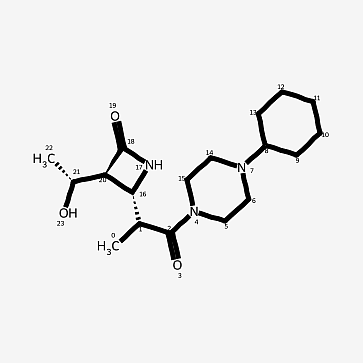 CC(C(=O)N1CCN(C2CCCCC2)CC1)[C@H]1NC(=O)[C@@H]1[C@@H](C)O